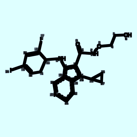 O=C(NOCCO)c1c(NC2CC=C(I)C=C2F)c2cnccc2n1C1CC1